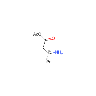 CC(=O)OC(=O)C[C@H](N)C(C)C